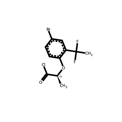 C[C@H](Oc1ccc(Br)cc1C(C)(F)F)C(=O)Cl